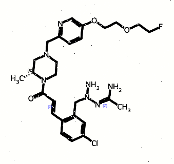 C/C(N)=N/N(N)Cc1cc(Cl)ccc1/C=C/C(=O)N1CCN(Cc2ccc(OCCOCCF)cn2)C[C@H]1C